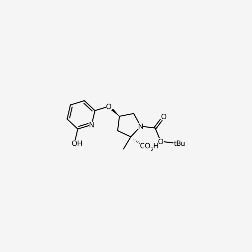 CC(C)(C)OC(=O)N1C[C@H](Oc2cccc(O)n2)C[C@@]1(C)C(=O)O